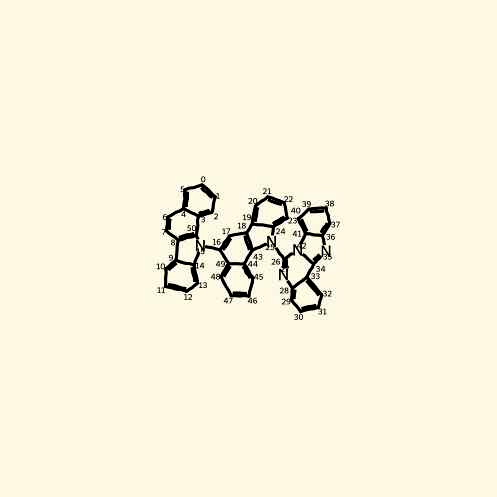 c1ccc2c(c1)ccc1c3ccccc3n(-c3cc4c5ccccc5n(-c5nc6ccccc6c6nc7ccccc7n56)c4c4ccccc34)c21